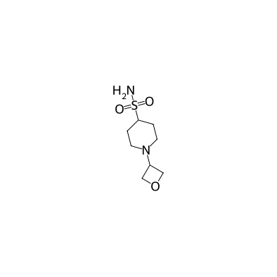 NS(=O)(=O)C1CCN(C2COC2)CC1